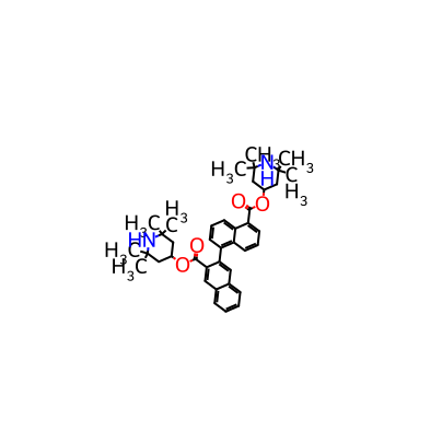 CC1(C)CC(OC(=O)c2cc3ccccc3cc2-c2cccc3c(C(=O)OC4CC(C)(C)NC(C)(C)C4)cccc23)CC(C)(C)N1